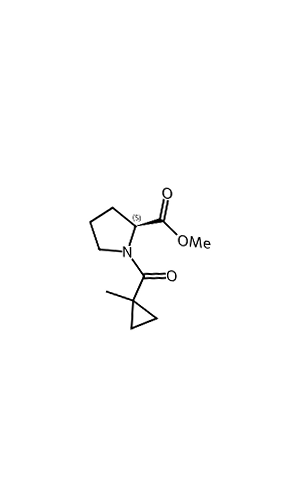 COC(=O)[C@@H]1CCCN1C(=O)C1(C)CC1